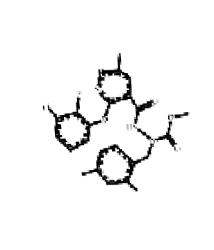 COC(=O)N(Cc1ccc(C)cc1C)NC(=O)c1cc(C)nnc1Oc1cccc(Cl)c1F